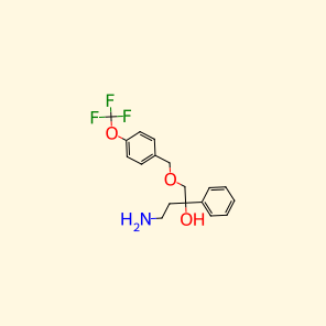 NCCC(O)(COCc1ccc(OC(F)(F)F)cc1)c1ccccc1